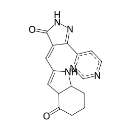 O=C1NN=C(c2ccncn2)/C1=C\C1=CC2C(=O)CCCC2N1